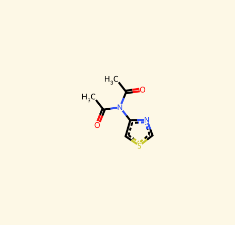 CC(=O)N(C(C)=O)c1cscn1